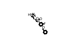 O=C1O[C@@H](Cc2c[nH]nn2)CN1c1ccc(OCc2ccccc2)c(F)c1